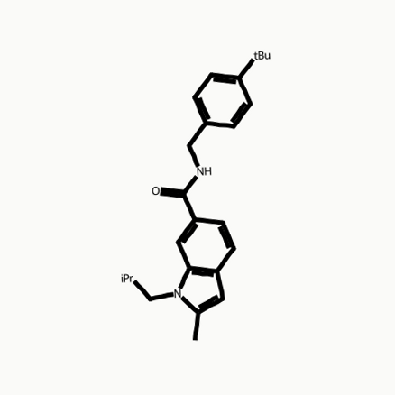 Cc1cc2ccc(C(=O)NCc3ccc(C(C)(C)C)cc3)cc2n1CC(C)C